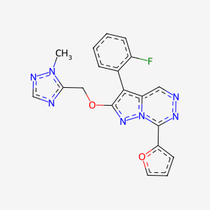 Cn1ncnc1COc1nn2c(-c3ccco3)nncc2c1-c1ccccc1F